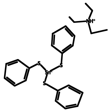 CC[NH+](CC)CC.c1ccc([S][Sn-]([S]c2ccccc2)[S]c2ccccc2)cc1